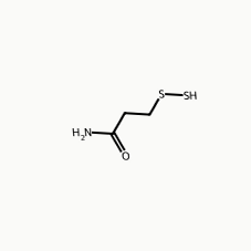 NC(=O)CCSS